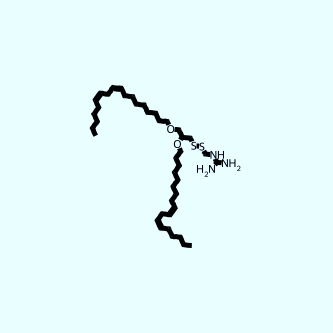 CCCCC/C=C\C/C=C\CCCCCCCCOCC(CSSCNC(N)N)OCCCCCCCC/C=C\C/C=C\CCCCC